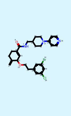 C=C1CCC(C(=O)NCC2CCN(c3ccncc3)CC2)=CC1OCCc1cc(Cl)cc(Br)c1